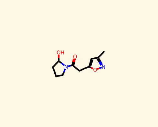 Cc1cc(CC(=O)N2CCCC2O)on1